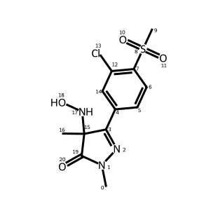 CN1N=C(c2ccc(S(C)(=O)=O)c(Cl)c2)C(C)(NO)C1=O